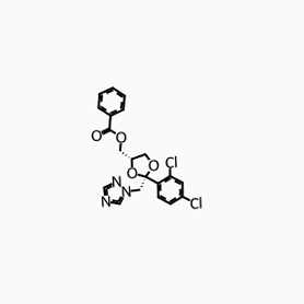 O=C(OC[C@@H]1CO[C@@](Cn2cncn2)(c2ccc(Cl)cc2Cl)O1)c1ccccc1